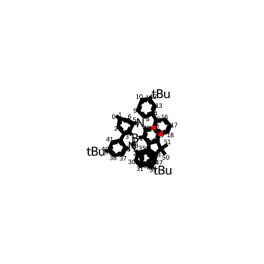 Cc1cc2c3c(c1)N(c1ccc(C(C)(C)C)cc1-c1ccccc1)c1ccc4c(c1B3N(c1ccc(C(C)(C)C)cc1)c1ccc(C(C)(C)C)cc1-2)-c1ccccc1C4(C)C